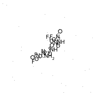 Cc1cc(Oc2c(F)cccc2F)ncc1-n1ncc(C(=O)c2cc3cc(OCC(F)F)c(N4C(=O)NC5(CCN(Cc6ccccc6)C5)C4=O)cc3[nH]2)c1N